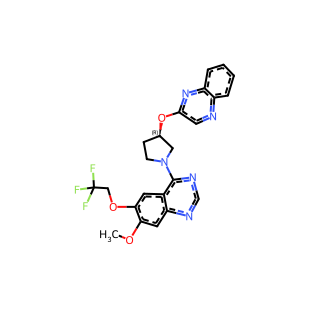 COc1cc2ncnc(N3CC[C@@H](Oc4cnc5ccccc5n4)C3)c2cc1OCC(F)(F)F